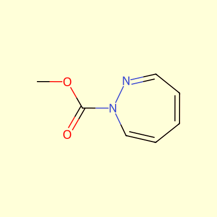 COC(=O)N1C=CC=CC=N1